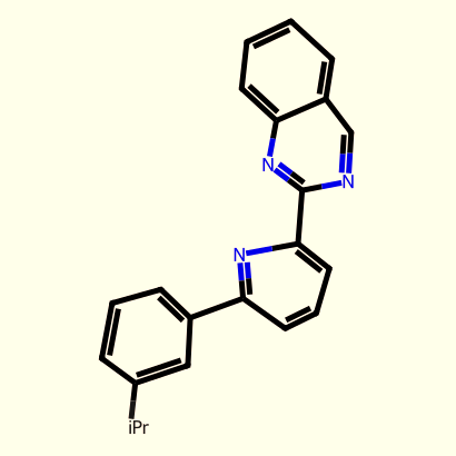 CC(C)c1cccc(-c2cccc(-c3ncc4ccccc4n3)n2)c1